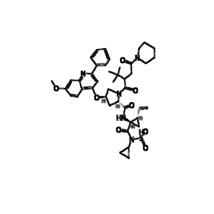 C=C[C@@H]1C[C@]1(NC(=O)[C@@H]1C[C@@H](Oc2cc(-c3ccccc3)nc3cc(OC)ccc23)CN1C(=O)C(CC(=O)N1CCCCC1)C(C)(C)C)C(=O)N(C1CC1)[SH](=O)=O